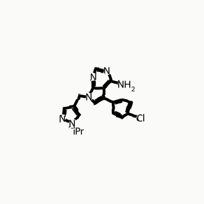 CC(C)n1cc(Cn2cc(-c3ccc(Cl)cc3)c3c(N)ncnc32)cn1